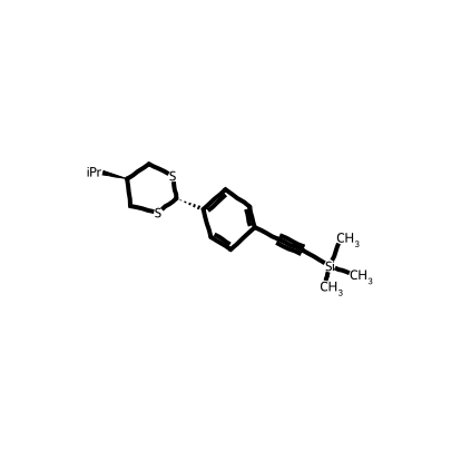 CC(C)[C@H]1CS[C@H](c2ccc(C#C[Si](C)(C)C)cc2)SC1